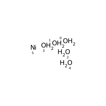 O.O.O.O.O.[Ni]